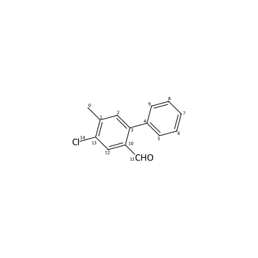 Cc1cc(-c2ccccc2)c(C=O)cc1Cl